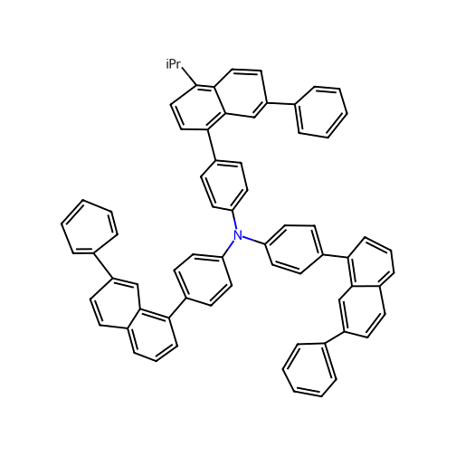 CC(C)c1ccc(-c2ccc(N(c3ccc(-c4cccc5ccc(-c6ccccc6)cc45)cc3)c3ccc(-c4cccc5ccc(-c6ccccc6)cc45)cc3)cc2)c2cc(-c3ccccc3)ccc12